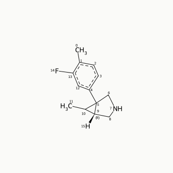 Cc1ccc(C23CNC[C@@H]2C3C)cc1F